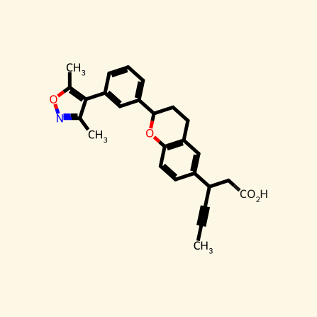 CC#CC(CC(=O)O)c1ccc2c(c1)CCC(c1cccc(-c3c(C)noc3C)c1)O2